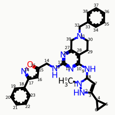 CN1NC(C2CC2)=CC1Nc1nc(NCc2cc(-c3ccccc3)no2)nc2c1CCN(Cc1ccccc1)C2